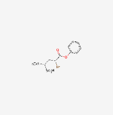 CCCCCCCCC(CC(Br)C(=O)Oc1ccccc1)S(=O)(=O)O